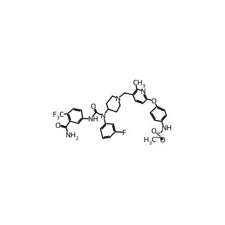 Cc1nc(Oc2ccc(NS(C)(=O)=O)cc2)ccc1CN1CCC(N(C(=O)Nc2ccc(C(F)(F)F)c(C(N)=O)c2)c2cccc(F)c2)CC1